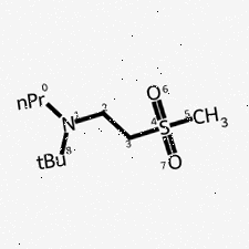 CCCN(CCS(C)(=O)=O)C(C)(C)C